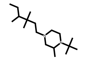 CCC(C)C(C)(C)CCN1CCN(C(C)(C)C)C(C)C1